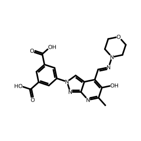 Cc1nc2nn(-c3cc(C(=O)O)cc(C(=O)O)c3)cc2c(C=NN2CCOCC2)c1O